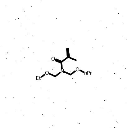 C=C(C)C(=O)N(COCC)COCCC